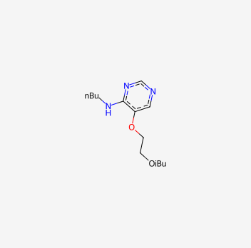 CCCCNc1ncncc1OCCOCC(C)C